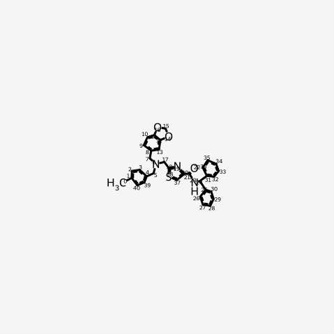 Cc1ccc(CN(Cc2ccc3c(c2)OCO3)Cc2nc(C(=O)NC(c3ccccc3)c3ccccc3)cs2)cc1